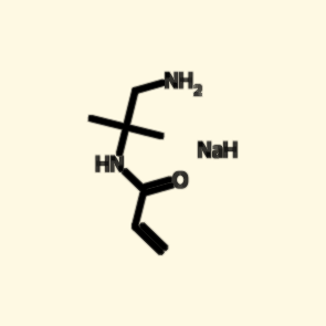 C=CC(=O)NC(C)(C)CN.[NaH]